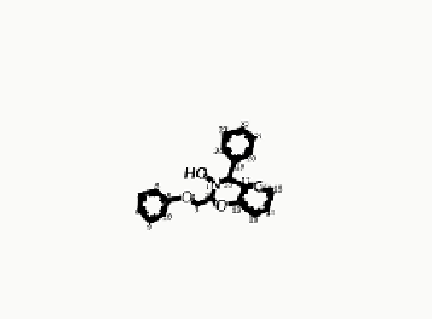 ON1C(COc2ccccc2)Oc2ccccc2C1c1ccccc1